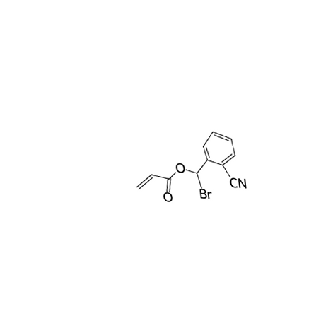 C=CC(=O)OC(Br)c1ccccc1C#N